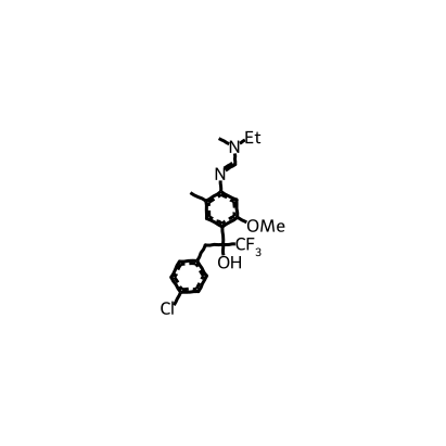 CCN(C)/C=N/c1cc(OC)c(C(O)(Cc2ccc(Cl)cc2)C(F)(F)F)cc1C